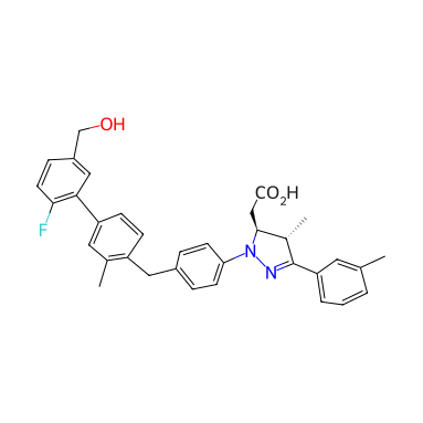 Cc1cccc(C2=NN(c3ccc(Cc4ccc(-c5cc(CO)ccc5F)cc4C)cc3)[C@@H](CC(=O)O)[C@@H]2C)c1